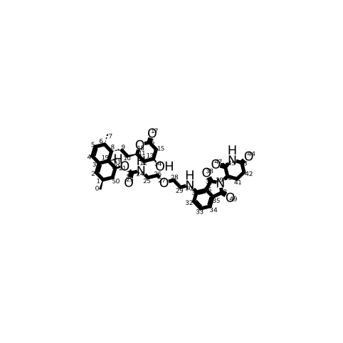 C[C@H]1C=C2C=C[C@H](C)[C@H](CC[C@@H]3C[C@@H](O)CC(=O)O3)[C@H]2[C@@H](OC(=O)NCCOCCNc2cccc3c2C(=O)N(C2CCC(=O)NC2=O)C3=O)C1